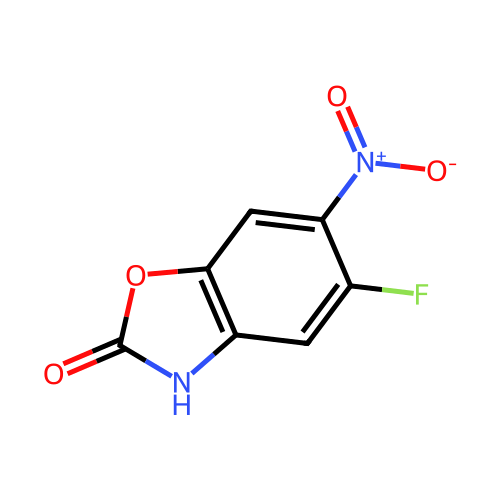 O=c1[nH]c2cc(F)c([N+](=O)[O-])cc2o1